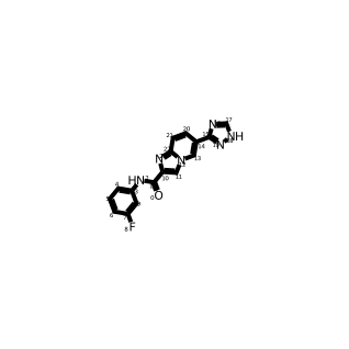 O=C(Nc1cccc(F)c1)c1cn2cc(-c3nc[nH]n3)ccc2n1